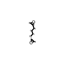 C(CC[C@@H]1CO1)CC1CO1